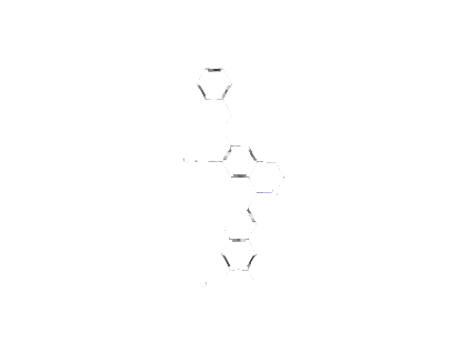 COc1cc(C)c(/C=C/C2NCCc3cc(OCc4ccccc4)c(OC)cc32)cc1C